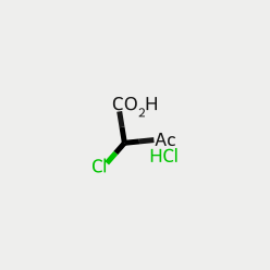 CC(=O)C(Cl)C(=O)O.Cl